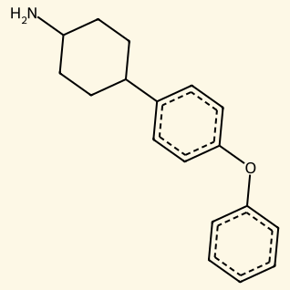 NC1CCC(c2ccc(Oc3ccccc3)cc2)CC1